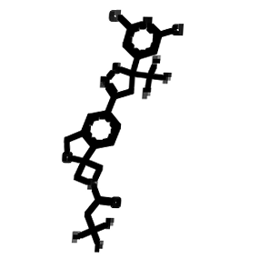 O=C(CC(F)(F)F)N1CC2(C1)OCc1cc(C3=NSC(c4cc(Cl)nc(Cl)c4)(C(F)(F)F)C3)ccc12